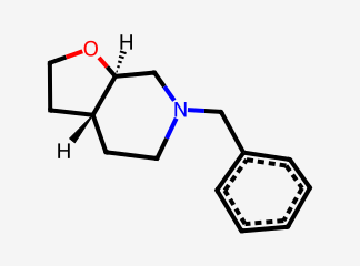 c1ccc(CN2CC[C@@H]3CCO[C@H]3C2)cc1